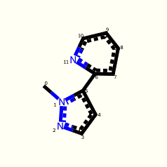 Cn1nc[c]c1-c1ccccn1